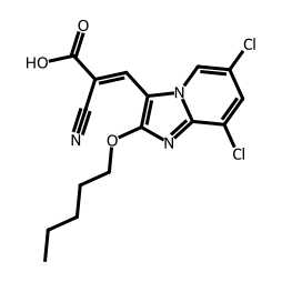 CCCCCOc1nc2c(Cl)cc(Cl)cn2c1C=C(C#N)C(=O)O